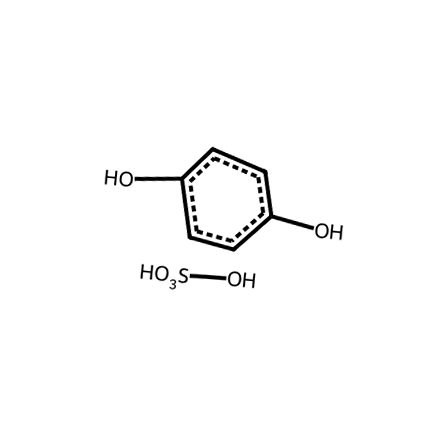 O=S(=O)(O)O.Oc1ccc(O)cc1